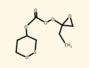 CCC1(OOC(=O)OC2CCOSC2)CO1